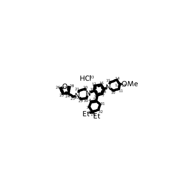 CCC1(CC)CC=C(c2cc(N3CCC(OC)CC3)ccc2N2CCN(Cc3ccoc3)CC2)CC1.Cl